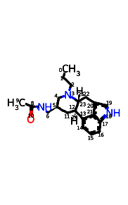 CCCN1C[C@H](CNC(C)=O)C[C@@H]2c3cccc4[nH]cc(c34)C[C@H]21